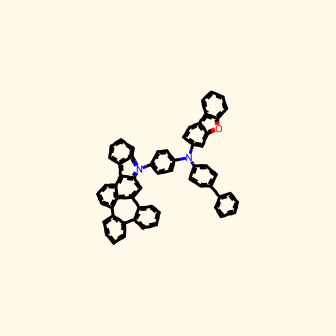 c1ccc(-c2ccc(N(c3ccc(-n4c5ccccc5c5c6cccc7c6c(cc54)-c4ccccc4-c4ccccc4-7)cc3)c3ccc4c(c3)oc3ccccc34)cc2)cc1